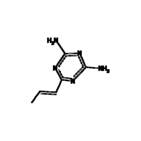 C/C=C/c1nc(N)nc(N)n1